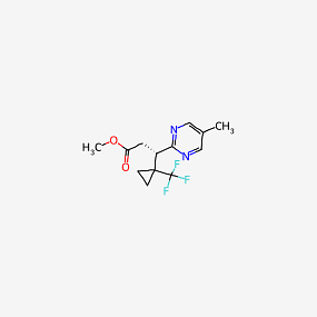 COC(=O)C[C@H](c1ncc(C)cn1)C1(C(F)(F)F)CC1